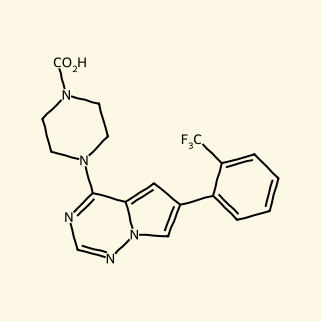 O=C(O)N1CCN(c2ncnn3cc(-c4ccccc4C(F)(F)F)cc23)CC1